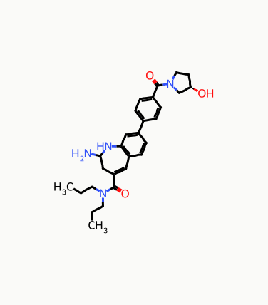 CCCN(CCC)C(=O)C1=Cc2ccc(-c3ccc(C(=O)N4CC[C@@H](O)C4)cc3)cc2NC(N)C1